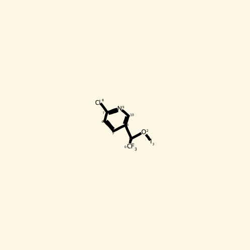 FC(F)(F)C(OI)c1ccc(Cl)nc1